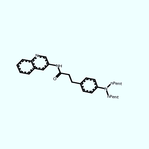 CCCCCN(CCCCC)c1ccc(CCC(=O)Nc2cnc3ccccc3c2)cc1